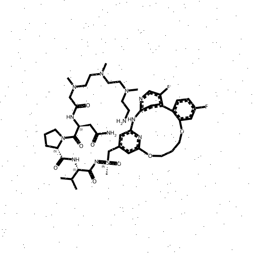 CC(C)[C@H](NC(=O)[C@@H]1CCCN1C(=O)[C@H](CC(N)=O)NC(=O)CN(C)CCN(C)CCN(C)CCN)C(=O)N=[S@](C)(=O)Cc1cc2nc(c1)OCCCOc1cc(F)ccc1-c1cc(ncc1F)N2